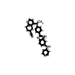 CN(c1ccc(-c2nc3ccc(Nc4ccncc4)cc3[nH]2)cc1)c1ccnc2c1CC(C#N)CC2